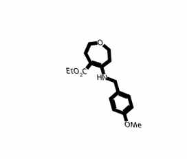 CCOC(=O)C1=C(NCc2ccc(OC)cc2)CCOCC1